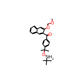 COCOc1cc2ccccc2cc1C(=O)c1ccc(C(C)(C)O[SiH2]C(C)(C)C)cc1